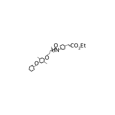 CCOC(=O)/C=C/c1ccc(NC(=O)C(C)(C)CCCOc2cc(C)c(OCc3ccccc3)cc2C)cc1